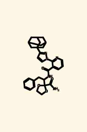 NC(=O)C1(C(Cc2ccccc2)NC(=O)c2cccnc2-n2ccc(C34CC5CC(CC(C5)C3)C4)n2)OCCO1